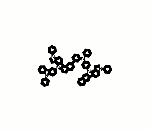 c1ccc(N(c2ccc(-n3c4cc5ccccc5cc4c4ccc5c(ccn5-c5ccccc5)c43)cc2)c2cccc(-c3ccc4ccc5c(c4c3)c3ccc4c(ccn4-c4ccccc4)c3n5-c3ccc4c(c3)c3ccccc3n4-c3ccccc3)c2)cc1